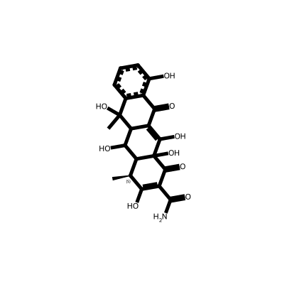 C[C@@H]1C(O)=C(C(N)=O)C(=O)C2(O)C(O)=C3C(=O)c4c(O)cccc4C(C)(O)C3C(O)C12